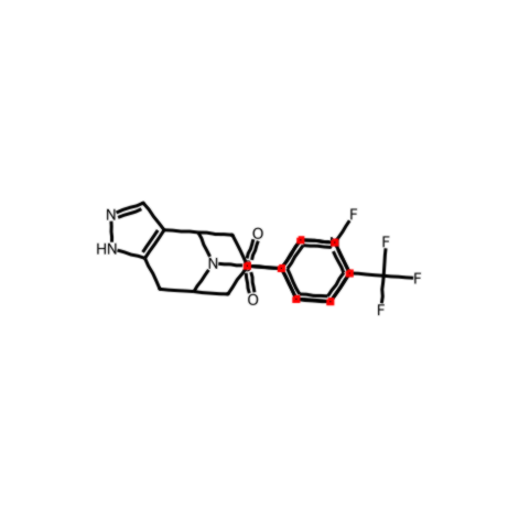 O=S(=O)(c1ccc(C(F)(F)F)nc1)N1C2Cc3[nH]ncc3C1CC(c1cccc(F)c1)C2